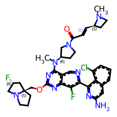 CN1CC[C@H]1/C=C/C(=O)N1CC[C@@H](N(C)c2nc(OC[C@@]34CCCN3C[C@H](F)C4)nc3c(F)c(-c4nc(N)cc5cccc(Cl)c45)ncc23)C1